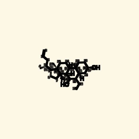 C=CC[C@@H](C)[C@H]1CC[C@H]2[C@@H]3[C@H](O)[C@H](CC)[C@@H]4C[C@H](O)CC[C@]4(C)[C@H]3CC[C@]12C